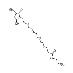 CC(C)(C)CCNC(=O)CCOCCOCCOCCOCCN1C(=O)C(C(C)(C)C)CC1O